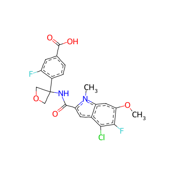 COc1cc2c(cc(C(=O)NC3(c4ccc(C(=O)O)cc4F)COC3)n2C)c(Cl)c1F